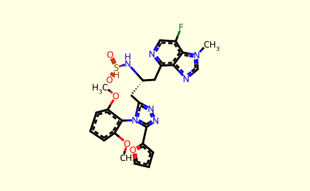 COc1cccc(OC)c1-n1c(C[C@@H](Cc2ncc(F)c3c2ncn3C)N[SH](=O)=O)nnc1-c1ccco1